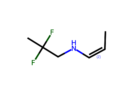 C/C=C\NCC(C)(F)F